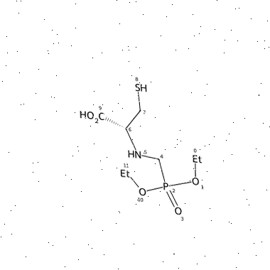 CCOP(=O)(CN[C@@H](CS)C(=O)O)OCC